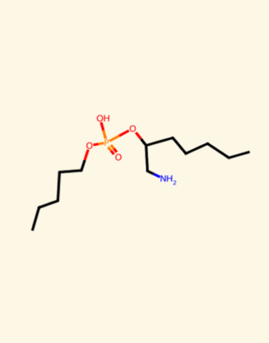 CCCCCOP(=O)(O)OC(CN)CCCCC